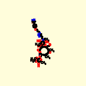 COC1C(OC[C@H]2/C=C(C)/C=C/C(=O)[C@H](C)C[C@H](CC=O)[C@H](OC3OC(C)C(O)C(N(C)CCc4cn(CCCOc5ccc(-c6cnns6)cc5)nn4)C3O)[C@@H](C)[C@H](O)CC(=O)O[C@@H]2I)OC(C)C(O)C1OC